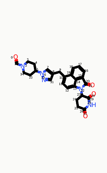 O=CN1CCC(n2cc(Cc3ccc4c5c(cccc35)C(=O)N4C3CCC(=O)NC3=O)cn2)CC1